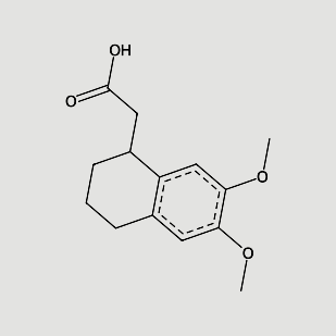 COc1cc2c(cc1OC)C(CC(=O)O)CCC2